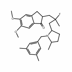 COc1cc2c(cc1OC)C(=O)C(CC(C)(F)CC1CCC(C)N1Cc1cc(C)cc(C)c1)C2